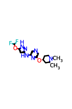 C[C@@H]1C[C@H](Oc2cncc(Nc3cc(OC(F)F)[nH]n3)n2)CCN1C